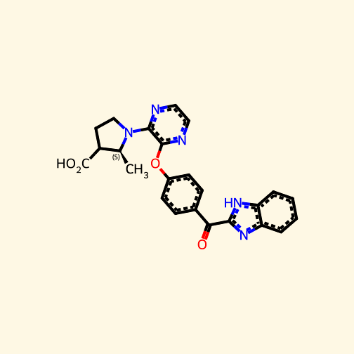 C[C@H]1C(C(=O)O)CCN1c1nccnc1Oc1ccc(C(=O)c2nc3ccccc3[nH]2)cc1